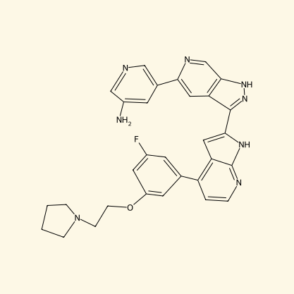 Nc1cncc(-c2cc3c(-c4cc5c(-c6cc(F)cc(OCCN7CCCC7)c6)ccnc5[nH]4)n[nH]c3cn2)c1